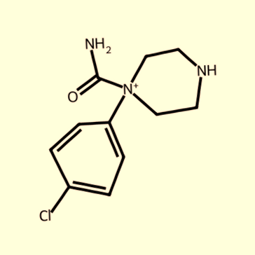 NC(=O)[N+]1(c2ccc(Cl)cc2)CCNCC1